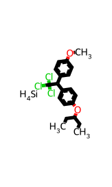 CCC(CC)Oc1ccc(C(c2ccc(OC)cc2)C(Cl)(Cl)Cl)cc1.[SiH4]